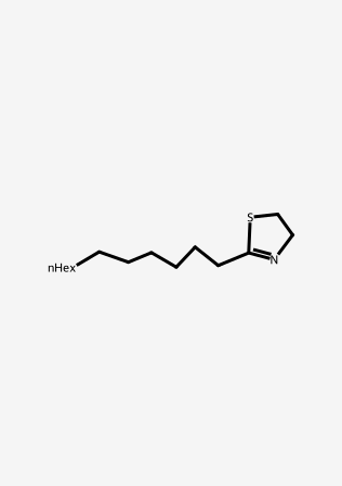 CCCCCCCCCCCCC1=NCCS1